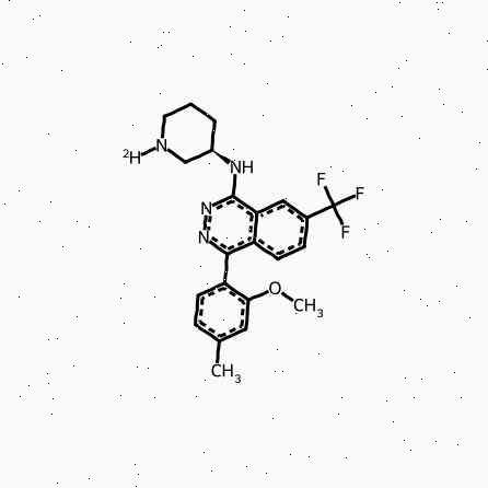 [2H]N1CCC[C@@H](Nc2nnc(-c3ccc(C)cc3OC)c3ccc(C(F)(F)F)cc23)C1